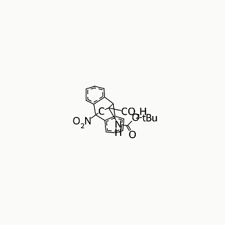 CC(C)(C)OC(=O)NC1(C(=O)O)CC2([N+](=O)[O-])c3ccccc3C1c1ccccc12